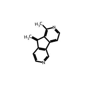 C=C1c2ccncc2-c2ccnc(C)c21